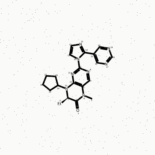 CC[C@@H]1C(=O)N(C)c2cnc(-n3ccnc3-c3cncnc3)nc2N1C1CCCC1